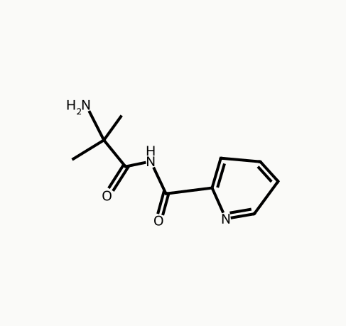 CC(C)(N)C(=O)NC(=O)c1ccccn1